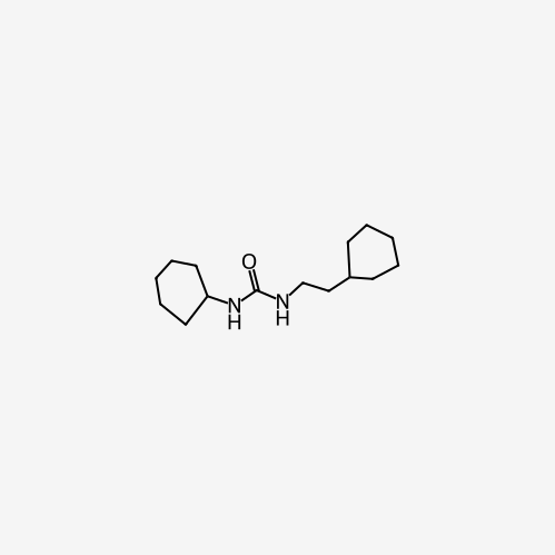 O=C(NCCC1CCCCC1)NC1CCCCC1